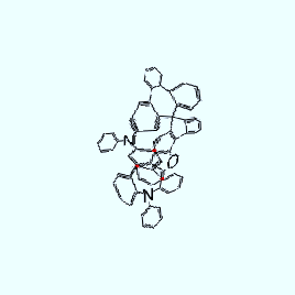 c1ccc(N(c2ccc3c(c2)-c2ccccc2N(c2ccccc2)c2ccccc2-3)c2ccc3c(c2)C2(c4ccccc4-c4ccccc4-3)c3ccccc3-c3c2ccc2c3oc3ccccc32)cc1